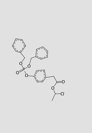 CC(Cl)OC(=O)Cc1ccc(OP(=O)(OCc2ccccc2)OCc2ccccc2)cc1